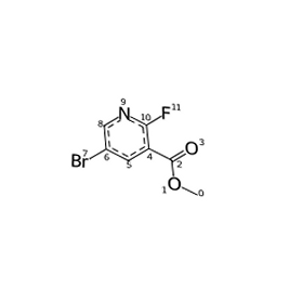 COC(=O)c1cc(Br)cnc1F